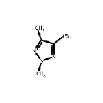 Cc1nn(C)nc1C(C)(C)C